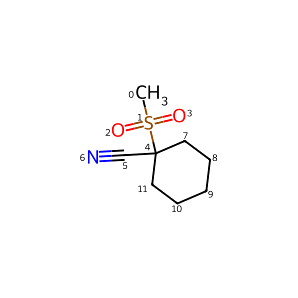 CS(=O)(=O)C1(C#N)CCCCC1